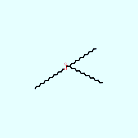 CCCCCCCCCCCCCCOC(=O)C(CCCCCCCCCCCC)CCCCCCCCCCCCCC